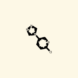 Clc1ccc(-n2cnnc2)cn1